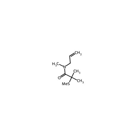 C=CCN(C)C(=O)C(C)(C)SC